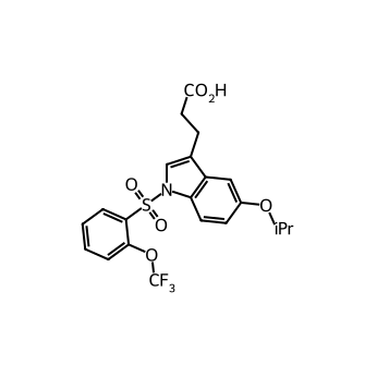 CC(C)Oc1ccc2c(c1)c(CCC(=O)O)cn2S(=O)(=O)c1ccccc1OC(F)(F)F